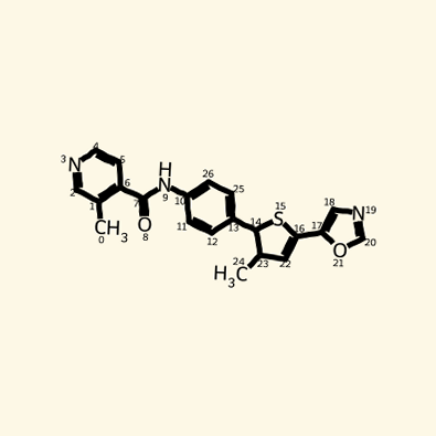 Cc1cnccc1C(=O)Nc1ccc(C2SC(c3cnco3)=CC2C)cc1